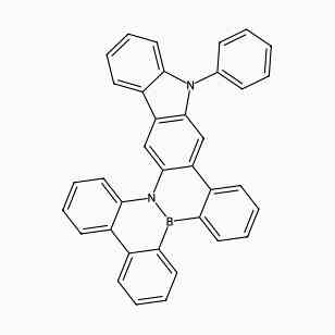 c1ccc(-n2c3ccccc3c3cc4c(cc32)-c2ccccc2B2c3ccccc3-c3ccccc3N24)cc1